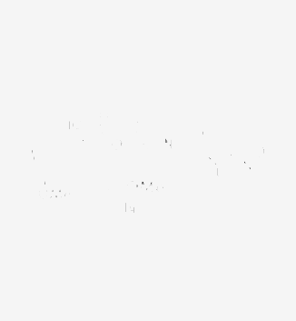 COc1cccc(C(O)(C(=O)OC2C[N+]3(CC(=O)Nc4ccon4)CCC2CC3)c2cccc(OC)c2)c1.[Br-]